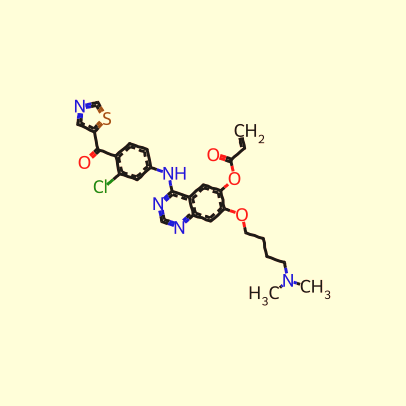 C=CC(=O)Oc1cc2c(Nc3ccc(C(=O)c4cncs4)c(Cl)c3)ncnc2cc1OCCCCN(C)C